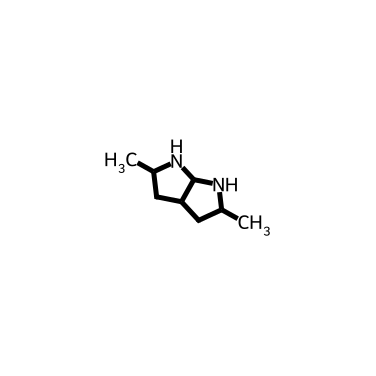 CC1CC2CC(C)NC2N1